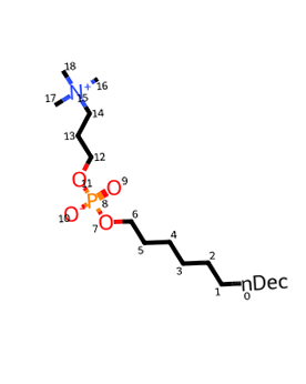 CCCCCCCCCCCCCCCCOP(=O)([O-])OCCC[N+](C)(C)C